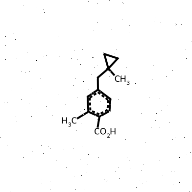 Cc1cc(CC2(C)CC2)ccc1C(=O)O